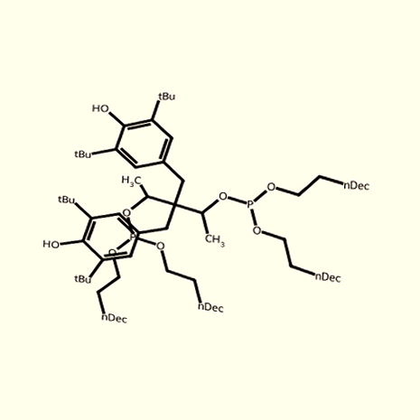 CCCCCCCCCCCCOP(OCCCCCCCCCCCC)OC(C)C(Cc1cc(C(C)(C)C)c(O)c(C(C)(C)C)c1)(Cc1cc(C(C)(C)C)c(O)c(C(C)(C)C)c1)C(C)OP(OCCCCCCCCCCCC)OCCCCCCCCCCCC